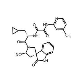 N#C[C@@H]1C[C@@]2(CN1C(=O)[C@H](CC1CC1)NC(=O)C(=O)Nc1cc(C(F)(F)F)ccn1)C(=O)Nc1ccccc12